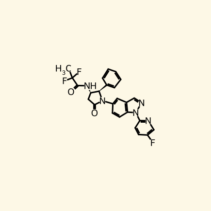 CC(F)(F)C(=O)N[C@H]1CC(=O)N(c2ccc3c(cnn3-c3ccc(F)cn3)c2)[C@@H]1c1ccccc1